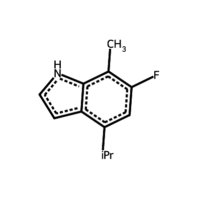 Cc1c(F)cc(C(C)C)c2cc[nH]c12